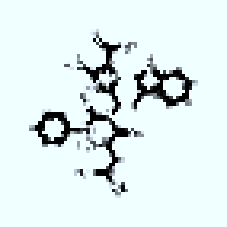 Cc1[nH]c([C@@H](Cc2c[nH]c3ccccc23)N(C(=O)Nc2ccccc2)C(=O)[C@@H](N)CC(C)C)nc1C(=O)O